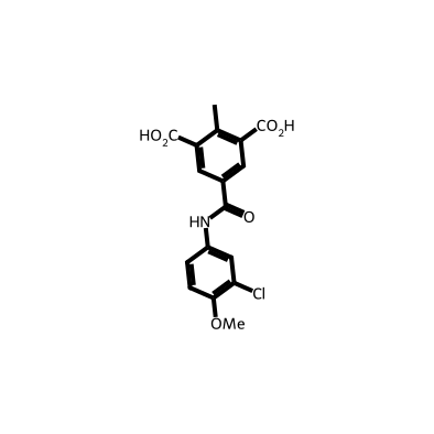 COc1ccc(NC(=O)c2cc(C(=O)O)c(C)c(C(=O)O)c2)cc1Cl